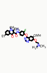 CCc1ccc2c(c1)c(=O)c(C(=O)Nc1ccc(Oc3ncnc4cc(OCCN(C)C)c(OC)cc34)c(F)c1)c(C)n2C